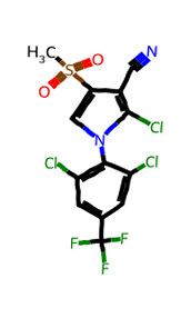 CS(=O)(=O)c1cn(-c2c(Cl)cc(C(F)(F)F)cc2Cl)c(Cl)c1C#N